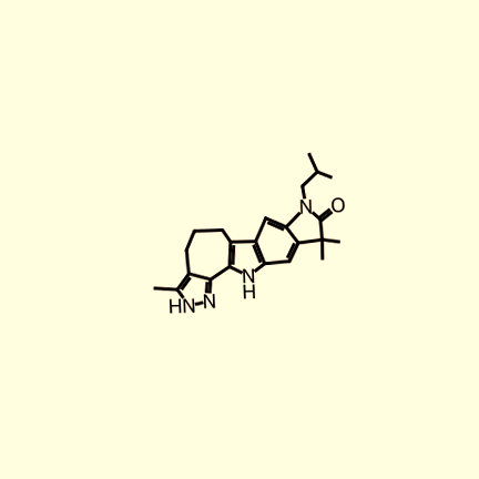 Cc1[nH]nc2c1CCCc1c-2[nH]c2cc3c(cc12)N(CC(C)C)C(=O)C3(C)C